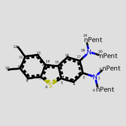 CCCCCN(CCCCC)c1cc2sc3cc(C)c(C)cc3c2cc1N(CCCCC)CCCCC